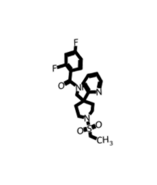 CCS(=O)(=O)N1CCC(CNC(=O)c2ccc(F)cc2F)(c2ccccn2)CC1